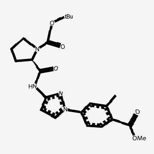 COC(=O)c1ccc(-n2ccc(NC(=O)[C@H]3CCCN3C(=O)OC(C)(C)C)n2)cc1C